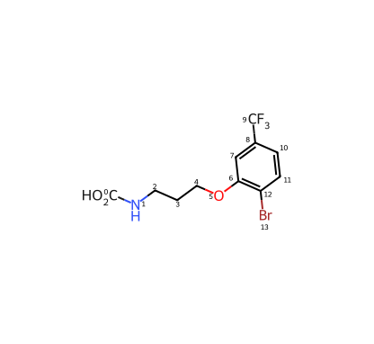 O=C(O)NCCCOc1cc(C(F)(F)F)ccc1Br